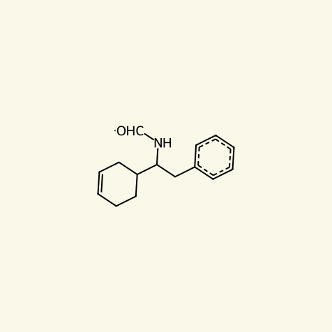 O=[C]NC(Cc1ccccc1)C1CC=CCC1